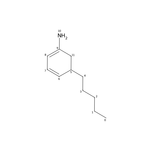 CCCCCC1C=CC=C(N)C1